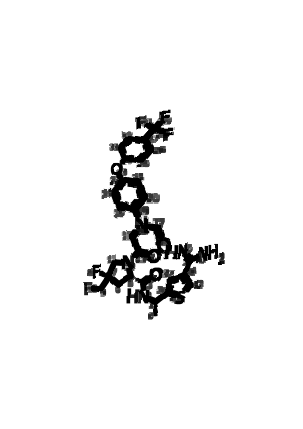 C[C@@H](NC(=O)[C@@H]1C[C@](F)(CF)CN1C(=O)CN(C=O)c1ccc(Oc2ccc(C(F)(F)F)cc2)cc1)c1cc(C(=N)N)cs1